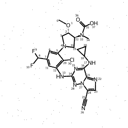 CO[C@H]1CN(c2cc(C(F)F)cc(Nc3nc(NC4CC4)c4ncc(C#N)n4n3)c2Cl)C[C@@H]1N(C)C(=O)O